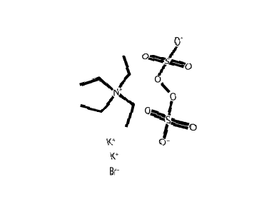 CC[N+](CC)(CC)CC.O=S(=O)([O-])OOS(=O)(=O)[O-].[Br-].[K+].[K+]